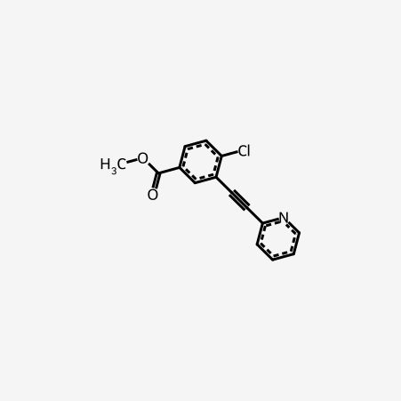 COC(=O)c1ccc(Cl)c(C#Cc2ccccn2)c1